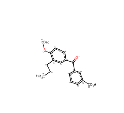 CCCCCCCCCCOc1ccc(C(=O)c2cccc(C(=O)O)c2)cc1CCC(=O)O